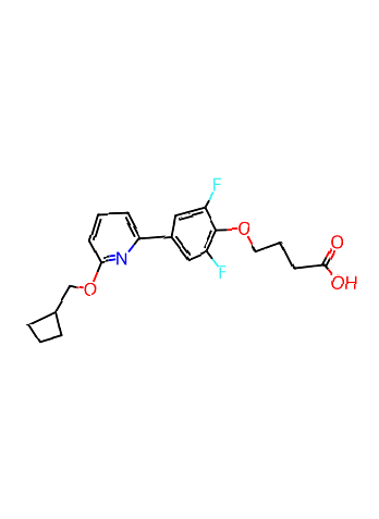 O=C(O)CCCOc1c(F)cc(-c2cccc(OCC3CCC3)n2)cc1F